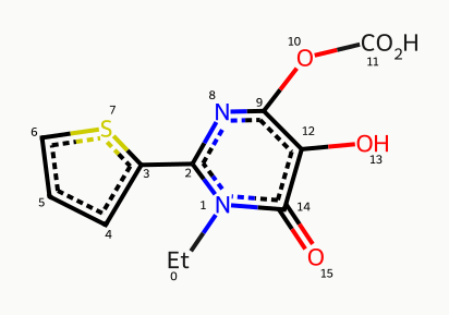 CCn1c(-c2cccs2)nc(OC(=O)O)c(O)c1=O